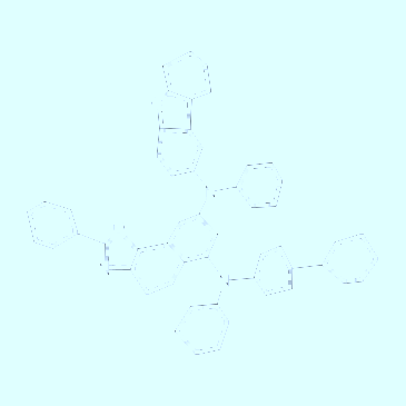 c1ccc(-c2ccc(N(c3ccccc3)c3cc(N(c4ccccc4)c4ccc5oc6ccccc6c5c4)cc4c3ccc3nc(-c5ccccc5)oc34)cc2)cc1